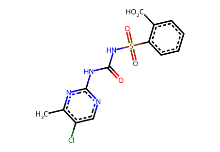 Cc1nc(NC(=O)NS(=O)(=O)c2ccccc2C(=O)O)ncc1Cl